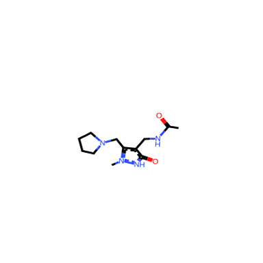 CC(=O)NCc1c(CN2CCCC2)n(C)[nH]c1=O